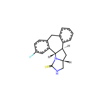 Fc1ccc2c(c1)[C@@H]1[C@H](C[C@@H]3CNC(=S)N31)c1ccccc1C2